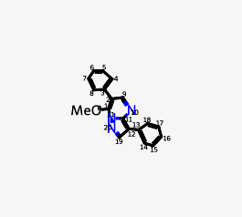 COc1c(-c2ccccc2)cnc2c(-c3ccccc3)cnn12